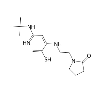 C=C(S)/C(=C\C(=N)NC(C)(C)C)NCCN1CCCC1=O